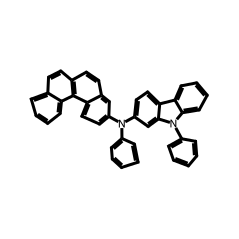 c1ccc(N(c2ccc3c(ccc4ccc5ccccc5c43)c2)c2ccc3c4ccccc4n(-c4ccccc4)c3c2)cc1